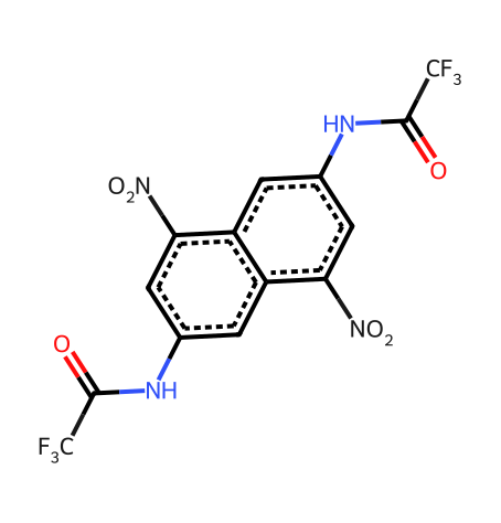 O=C(Nc1cc([N+](=O)[O-])c2cc(NC(=O)C(F)(F)F)cc([N+](=O)[O-])c2c1)C(F)(F)F